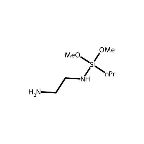 CCC[Si](NCCN)(OC)OC